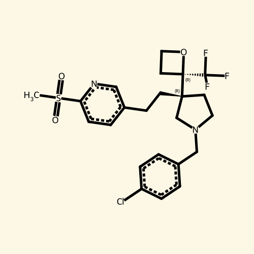 CS(=O)(=O)c1ccc(CC[C@@]2([C@@]3(C(F)(F)F)CCO3)CCN(Cc3ccc(Cl)cc3)C2)cn1